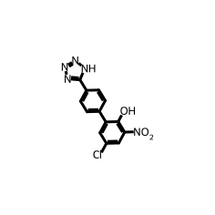 O=[N+]([O-])c1cc(Cl)cc(-c2ccc(-c3nnn[nH]3)cc2)c1O